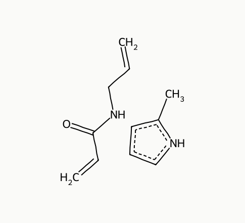 C=CCNC(=O)C=C.Cc1ccc[nH]1